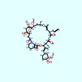 C=CC[C@@H]1/C=C(\C)C[C@H](C)C[C@H](OC)[C@H]2O[C@@](O)(CC(=O)N3CCCC[C@H]3C(=O)O[C@H](/C(C)=C/[C@@H]3CC[C@@H](O)[C@H](OC)C3)[C@H](C)C(=O)CC1=O)[C@H](C)C[C@@H]2OC